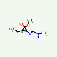 CC[C@@H]1C(/N=C/NC)C1(O)OC